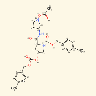 O=C(OCc1ccc([N+](=O)[O-])cc1)O[C@@H]1C[C@@H](C(=O)N[C@H]2CCN(OC(=O)C(F)(F)F)C2)N(C(=O)OCc2ccc([N+](=O)[O-])cc2)C1